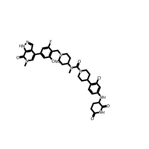 COc1cc(-c2cn(C)c(=O)c3[nH]ncc23)cc(F)c1CN1CCC(N(C)C(=O)N2CCC(c3ccc(NC4CCC(=O)NC4=O)cc3Cl)CC2)CC1